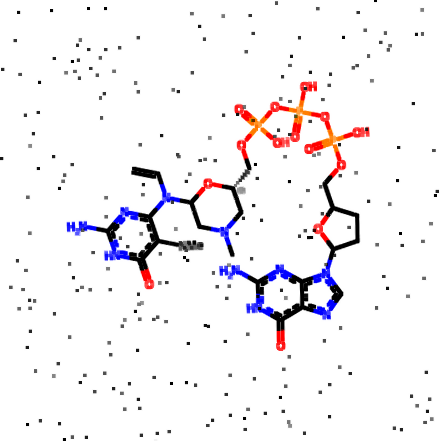 C=CN(c1nc(N)[nH]c(=O)c1NC)C1CN(C)C[C@@H](COP(=O)(O)OP(=O)(O)OP(=O)(O)OCC2CCC(n3cnc4c(=O)[nH]c(N)nc43)O2)O1